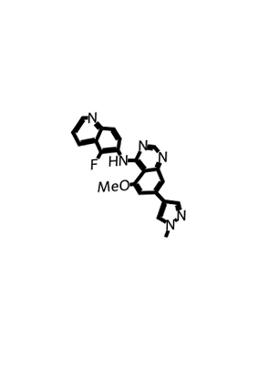 COc1cc(-c2cnn(C)c2)cc2ncnc(Nc3ccc4ncccc4c3F)c12